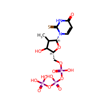 CC1C(O)[C@@H](COP(=O)(O)OP(=O)(O)OP(=O)(O)O)O[C@H]1n1ccc(=O)[nH]c1=S